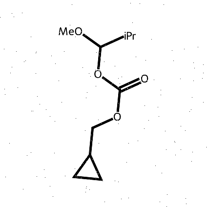 COC(OC(=O)OCC1CC1)C(C)C